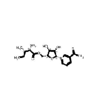 CC[C@H](C)[C@H](N)C(=O)OC[C@H]1O[C@@H]([n+]2cccc(C(C)=O)c2)[C@H](O)[C@@H]1O